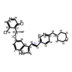 C[C@@H](Oc1ccc2[nH]nc(/C=C/c3ccc(CN4CCOCC4)nn3)c2c1)c1c(Cl)cncc1Cl